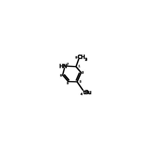 CC1C=C(C(C)(C)C)C=CN1